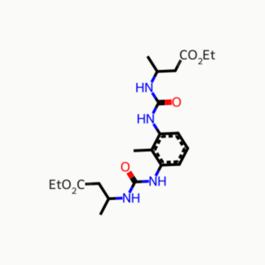 CCOC(=O)CC(C)NC(=O)Nc1cccc(NC(=O)NC(C)CC(=O)OCC)c1C